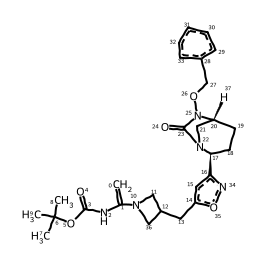 C=C(NC(=O)OC(C)(C)C)N1CC(Cc2cc([C@@H]3CC[C@@H]4CN3C(=O)N4OCc3ccccc3)no2)C1